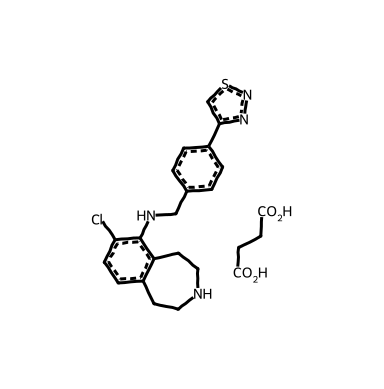 Clc1ccc2c(c1NCc1ccc(-c3csnn3)cc1)CCNCC2.O=C(O)CCC(=O)O